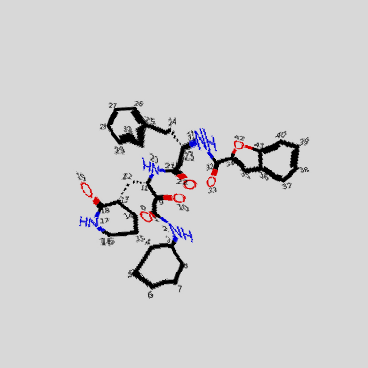 O=C(NC1CCCCC1)C(=O)[C@H](C[C@@H]1CCCNC1=O)NC(=O)[C@H](Cc1ccccc1)NC(=O)c1cc2ccccc2o1